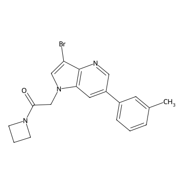 Cc1cccc(-c2cnc3c(Br)cn(CC(=O)N4CCC4)c3c2)c1